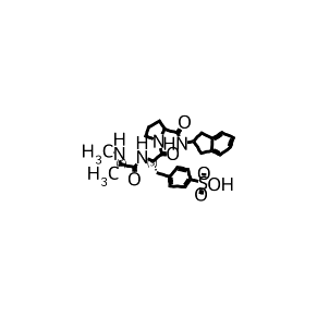 CN[C@@H](C)C(=O)N[C@@H](Cc1ccc(S(=O)(=O)O)cc1)C(=O)N1CCCC1C(=O)NC1Cc2ccccc2C1